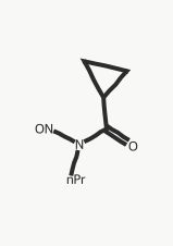 CCCN(N=O)C(=O)C1CC1